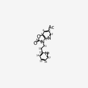 CC(=O)c1cnc2c(c1)oc(=O)n2CCc1ccccn1